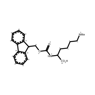 CNCCCCC(NC(=O)OCC1c2ccccc2-c2ccccc21)C(=O)O